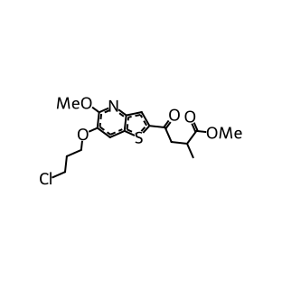 COC(=O)C(C)CC(=O)c1cc2nc(OC)c(OCCCCl)cc2s1